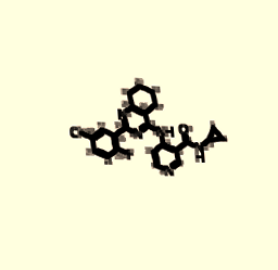 O=C(NC1CC1)c1cnccc1Nc1nc(-c2cc(Cl)ccc2F)nc2c1CCCC2